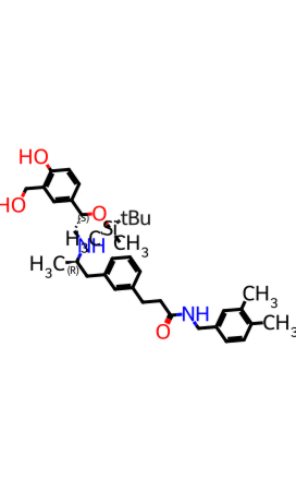 Cc1ccc(CNC(=O)CCc2cccc(C[C@@H](C)NC[C@@H](O[Si](C)(C)C(C)(C)C)c3ccc(O)c(CO)c3)c2)cc1C